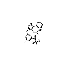 Cc1cc(Cn2cnc(-c3ccccc3)c2CC(C)O)cc(NS(C)(=O)=O)c1